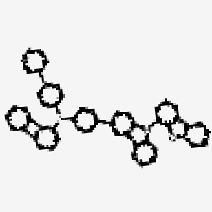 c1ccc(-c2ccc(N(c3ccc(-c4ccc5c(c4)c4ccccc4n5-c4cccc5c4oc4ccccc45)cc3)c3cccc4c3-c3ccccc3-4)cc2)cc1